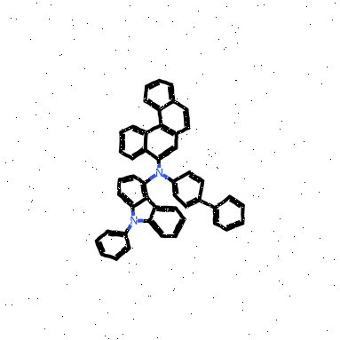 c1ccc(-c2ccc(N(c3cc4ccc5ccccc5c4c4ccccc34)c3cccc4c3c3ccccc3n4-c3ccccc3)cc2)cc1